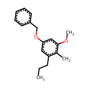 [CH2]c1c(CCC)cc(OCc2ccccc2)cc1OC